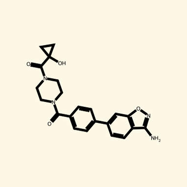 Nc1noc2cc(-c3ccc(C(=O)N4CCN(C(=O)C5(O)CC5)CC4)cc3)ccc12